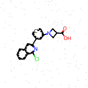 O=C(O)C1CN(c2cccc(-c3cc4ccccc4c(Cl)n3)c2)C1